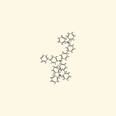 c1ccc(-c2ccc(N(c3ccc(-c4cccc(-n5c6ccccc6c6ccccc65)c4)cc3)c3ccc(-c4ccccc4-n4c5ccccc5c5ccccc54)cc3)cc2)cc1